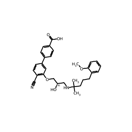 COc1ccccc1CCCC(C)(C)NC[C@@H](O)COc1cc(-c2ccc(C(=O)O)cc2)ccc1C#N